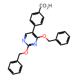 O=C(O)c1ccc(-c2cnc(OCc3ccccc3)nc2OCc2ccccc2)cc1